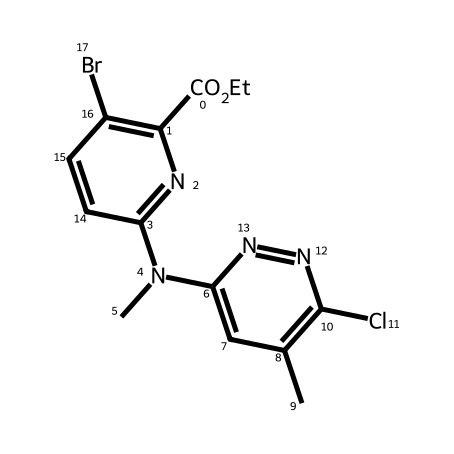 CCOC(=O)c1nc(N(C)c2cc(C)c(Cl)nn2)ccc1Br